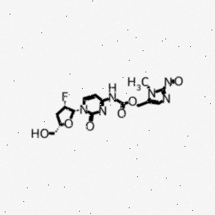 Cn1c(COC(=O)Nc2ccn([C@@H]3O[C@H](CO)C[C@@H]3F)c(=O)n2)cnc1N=O